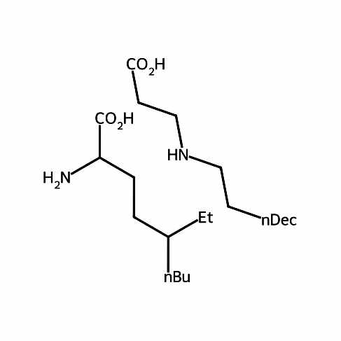 CCCCC(CC)CCC(N)C(=O)O.CCCCCCCCCCCCNCCC(=O)O